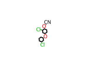 N#CCOc1ccc(Oc2cccc(Cl)c2)cc1Cl